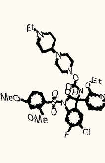 CCOc1ncccc1C1(NC(=O)ON2CCN(C3CCN(CC)CC3)CC2)C(=O)N(S(=O)(=O)c2ccc(OC)cc2OC)c2cc(F)c(Cl)cc21